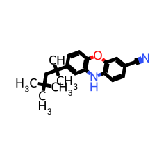 CC(C)(C)CC(C)(C)c1ccc2c(c1)Nc1ccc(C#N)cc1O2